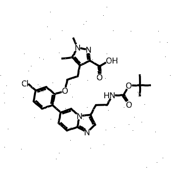 Cc1c(CCOc2cc(Cl)ccc2-c2ccc3ncc(CCNC(=O)OC(C)(C)C)n3c2)c(C(=O)O)nn1C